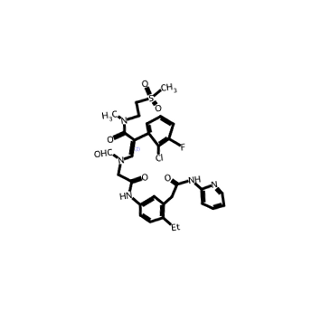 CCc1ccc(NC(=O)CN(C=O)/C=C(\C(=O)N(C)CCS(C)(=O)=O)c2cccc(F)c2Cl)cc1CC(=O)Nc1ccccn1